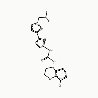 O=C(Nc1csc(-c2ccn(CC(F)F)n2)n1)N[C@H]1CCOc2c(Cl)cccc21